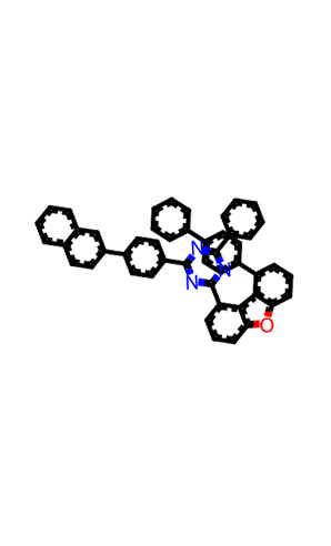 c1ccc(-c2ccc(-c3cccc4oc5cccc(-c6nc(-c7ccccc7)nc(-c7ccc(-c8ccc9ccccc9c8)cc7)n6)c5c34)cc2)cc1